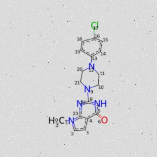 Cn1ccc2c(=O)[nH]c(N3CCN(c4ccc(Cl)cc4)CC3)nc21